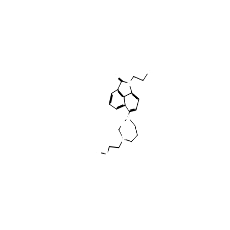 CCOCCN1CCCN(c2ccc3c4c(cccc24)C(=O)N3CCC(C)C)CC1